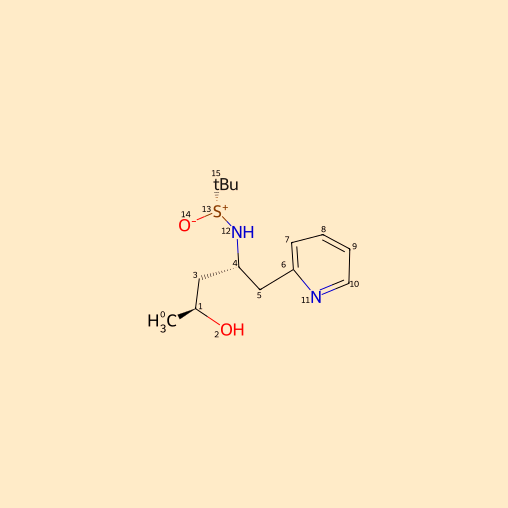 C[C@H](O)C[C@@H](Cc1ccccn1)N[S@+]([O-])C(C)(C)C